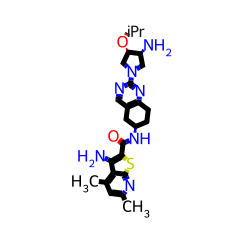 Cc1cc(C)c2c(N)c(C(=O)N[C@@H]3CCc4nc(N5C[C@H](OC(C)C)[C@@H](N)C5)ncc4C3)sc2n1